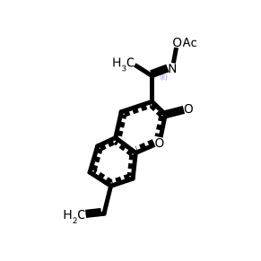 C=Cc1ccc2cc(/C(C)=N/OC(C)=O)c(=O)oc2c1